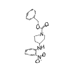 O=C(OCc1ccccc1)N1CCC(Nc2ccccc2[N+](=O)[O-])CC1